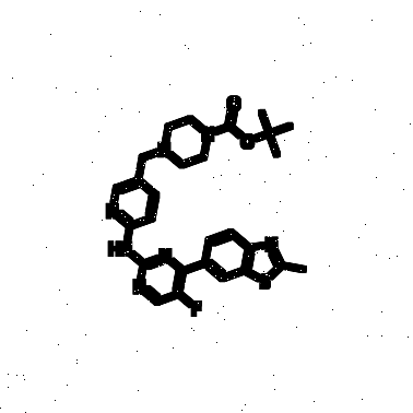 Cc1nc2ccc(-c3nc(Nc4ccc(CN5CCN(C(=O)OC(C)(C)C)CC5)cn4)ncc3F)cc2s1